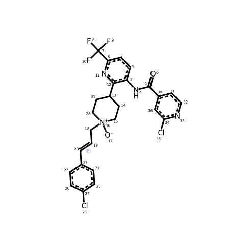 O=C(Nc1ccc(C(F)(F)F)nc1C1CC[N+]([O-])(C/C=C/c2ccc(Cl)cc2)CC1)c1ccnc(Cl)c1